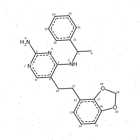 CC(Nc1nc(N)ncc1CCc1cccc2c1OCO2)c1ccccc1